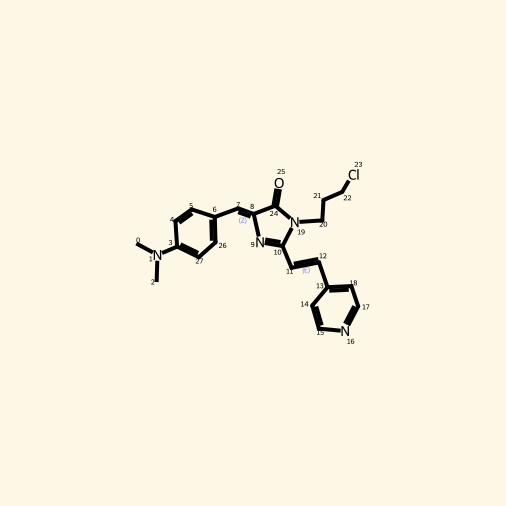 CN(C)c1ccc(/C=C2N=C(/C=C/c3ccncc3)N(CCCCl)C\2=O)cc1